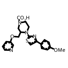 COc1ccc(-c2csc(N3CCN(C(=O)O)CC3COc3cccnc3)n2)cc1